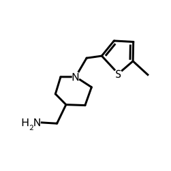 Cc1ccc(CN2CCC(CN)CC2)s1